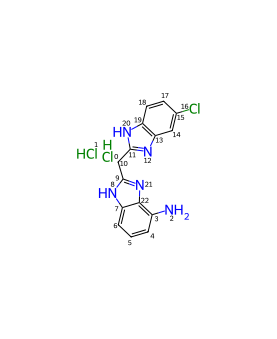 Cl.Cl.Nc1cccc2[nH]c(Cc3nc4cc(Cl)ccc4[nH]3)nc12